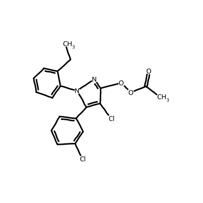 CCc1ccccc1-n1nc(OOC(C)=O)c(Cl)c1-c1cccc(Cl)c1